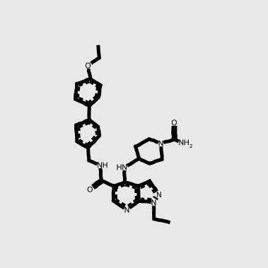 CCOc1ccc(-c2ccc(CNC(=O)c3cnc4c(cnn4CC)c3NC3CCN(C(N)=O)CC3)cc2)cc1